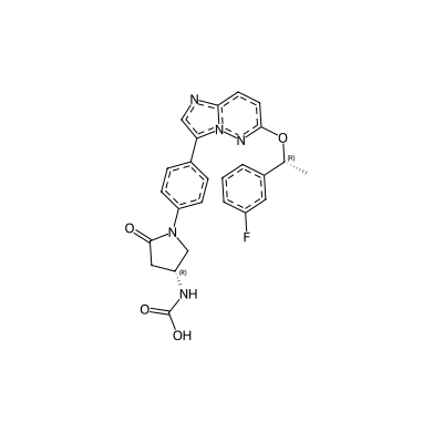 C[C@@H](Oc1ccc2ncc(-c3ccc(N4C[C@H](NC(=O)O)CC4=O)cc3)n2n1)c1cccc(F)c1